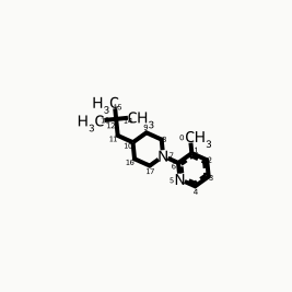 Cc1cccnc1N1CCC(CC(C)(C)C)CC1